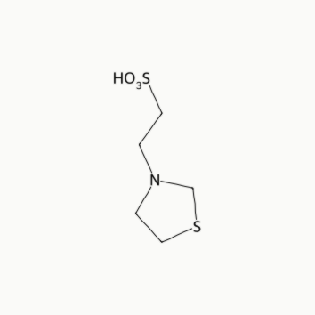 O=S(=O)(O)CCN1CCSC1